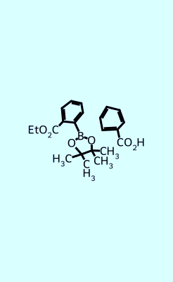 CCOC(=O)c1ccccc1B1OC(C)(C)C(C)(C)O1.O=C(O)c1ccccc1